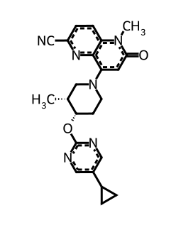 C[C@@H]1CN(c2cc(=O)n(C)c3ccc(C#N)nc23)CC[C@@H]1Oc1ncc(C2CC2)cn1